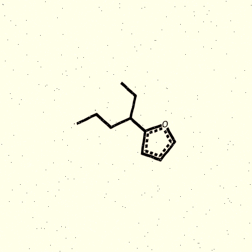 [CH2]CCC(CC)c1ccco1